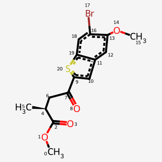 COC(=O)[C@@H](C)CC(=O)c1cc2cc(OC)c(Br)cc2s1